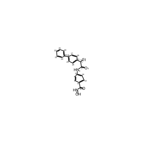 CCC(C(=O)Nc1ccc(C(=O)NO)cc1)c1ccc(-c2ccccc2)cc1